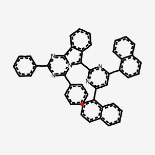 c1ccc(-c2nc(-c3ccccc3)n3c(-c4nc(-c5cccc6ccccc56)cc(-c5cccc6ccccc56)n4)c4ccccc4c3n2)cc1